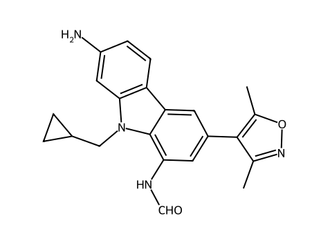 Cc1noc(C)c1-c1cc(NC=O)c2c(c1)c1ccc(N)cc1n2CC1CC1